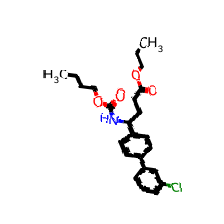 CCCCOC(=O)NC(CCC(=O)OCCC)c1ccc(-c2cccc(Cl)c2)cc1